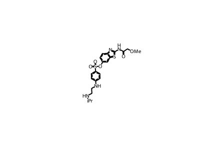 COCC(=O)Nc1nc2ccc(OS(=O)(=O)c3ccc(NCCNC(C)C)cc3)cc2s1